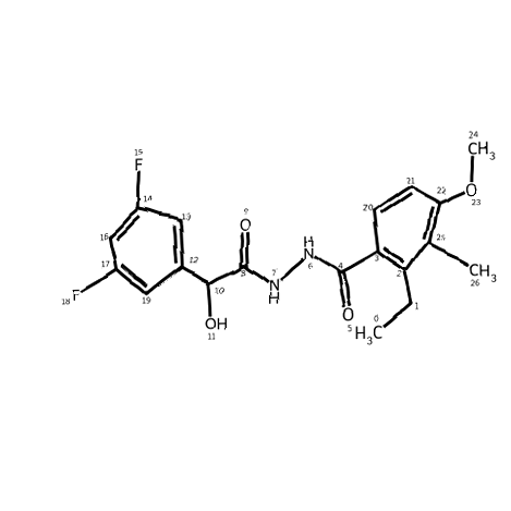 CCc1c(C(=O)NNC(=O)C(O)c2cc(F)cc(F)c2)ccc(OC)c1C